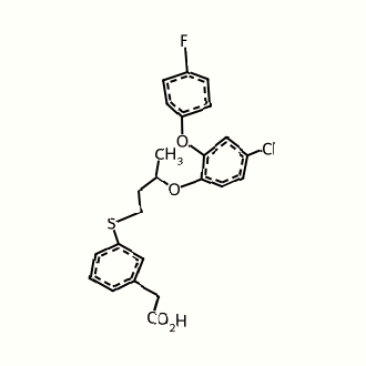 CC(CCSc1cccc(CC(=O)O)c1)Oc1ccc(Cl)cc1Oc1ccc(F)cc1